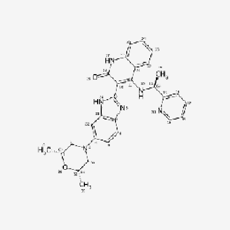 C[C@@H]1CN(c2ccc3nc(-c4c(N[C@@H](C)c5ccccn5)c5ccccc5[nH]c4=O)[nH]c3c2)C[C@H](C)O1